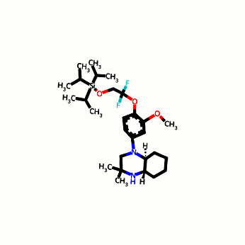 COc1cc(N2CC(C)(C)N[C@H]3CCCC[C@@H]32)ccc1OC(F)(F)CO[Si](C(C)C)(C(C)C)C(C)C